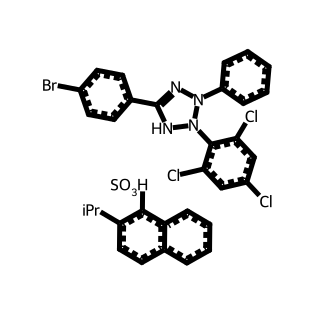 CC(C)c1ccc2ccccc2c1S(=O)(=O)O.Clc1cc(Cl)c(N2NC(c3ccc(Br)cc3)=NN2c2ccccc2)c(Cl)c1